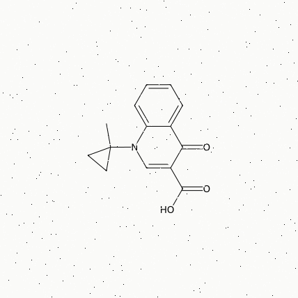 CC1(n2cc(C(=O)O)c(=O)c3ccccc32)CC1